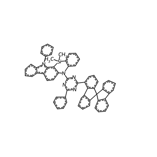 C[Si]1(C)c2ccccc2N(c2nc(-c3ccccc3)nc(-c3cccc4c3-c3ccccc3C43c4ccccc4-c4ccccc43)n2)c2ccc3c4ccccc4n(-c4ccccc4)c3c21